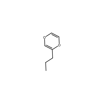 CCCC1=COC=CO1